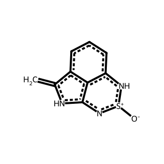 C=c1[nH]c2n[s+]([O-])[nH]c3cccc1c32